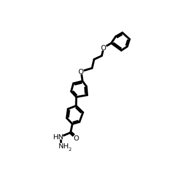 NNC(=O)c1ccc(-c2ccc(OCCCOc3ccccc3)cc2)cc1